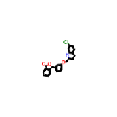 O=C1OC(c2cccc(OCc3ccc4ccc(Cl)cc4n3)c2)c2ccccc21